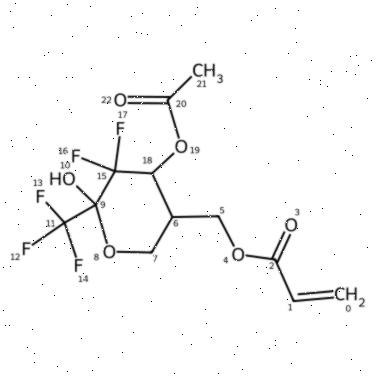 C=CC(=O)OCC1COC(O)(C(F)(F)F)C(F)(F)C1OC(C)=O